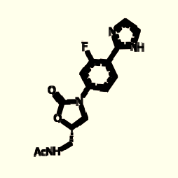 CC(=O)NC[C@H]1CN(c2ccc(-c3ncc[nH]3)c(F)c2)C(=O)O1